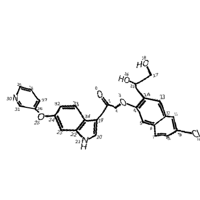 O=C(COc1cc2ccc(Cl)cc2cc1C(O)CO)c1c[nH]c2cc(Oc3cccnc3)ccc12